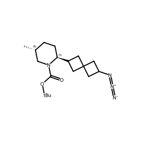 C[C@@H]1CC[C@@H](C2CC3(CC(N=[N+]=[N-])C3)C2)N(C(=O)OC(C)(C)C)C1